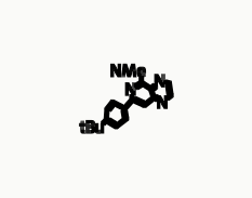 CNc1nc(-c2ccc(C(C)(C)C)cc2)cc2nccnc12